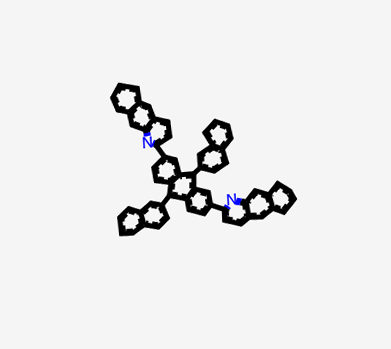 c1ccc2cc(-c3c4ccc(-c5ccc6cc7ccccc7cc6n5)cc4c(-c4ccc5ccccc5c4)c4cc(-c5ccc6cc7ccccc7cc6n5)ccc34)ccc2c1